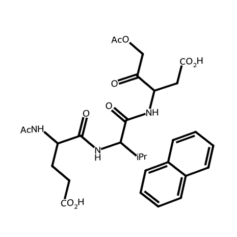 CC(=O)NC(CCC(=O)O)C(=O)NC(C(=O)NC(CC(=O)O)C(=O)COC(C)=O)C(C)C.c1ccc2ccccc2c1